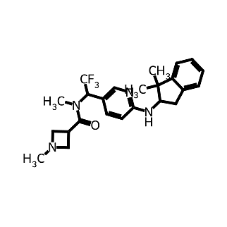 CN1CC(C(=O)N(C)C(c2ccc(NC3Cc4ccccc4C3(C)C)nc2)C(F)(F)F)C1